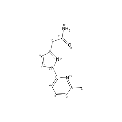 Cc1cccc(-n2ccc(CC(N)=O)n2)n1